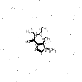 CON(C)C(=O)c1ncn(C)c1C